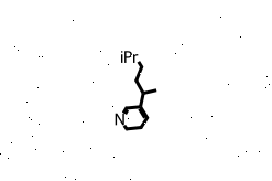 CC(C)CCC(C)C1=CCCN=C1